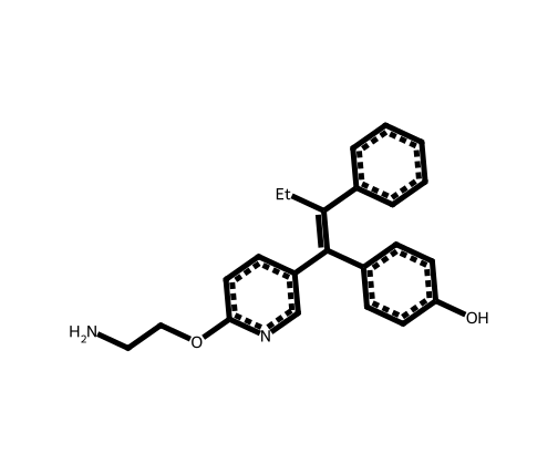 CCC(=C(c1ccc(O)cc1)c1ccc(OCCN)nc1)c1ccccc1